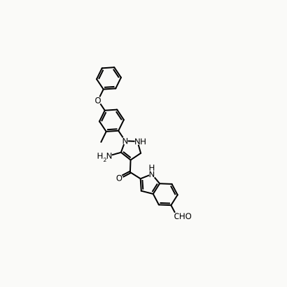 Cc1cc(Oc2ccccc2)ccc1N1NCC(C(=O)c2cc3cc(C=O)ccc3[nH]2)=C1N